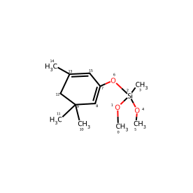 CO[Si](C)(OC)OC1=CC(C)(C)CC(C)=C1